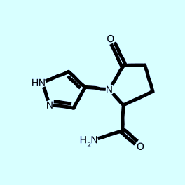 NC(=O)C1CCC(=O)N1c1cn[nH]c1